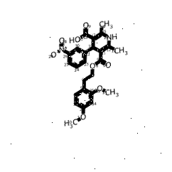 COc1ccc(CCOC(=O)C2=C(C)NC(C)=C(C(=O)O)C2c2cccc([N+](=O)[O-])c2)c(OC)c1